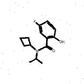 CC(C)N(C(=O)c1cc(F)ccc1O)C1CCC1